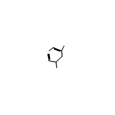 CC1C=NC=C(C#N)C1